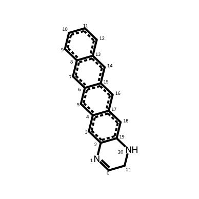 C1=Nc2cc3cc4cc5ccccc5cc4cc3cc2NC1